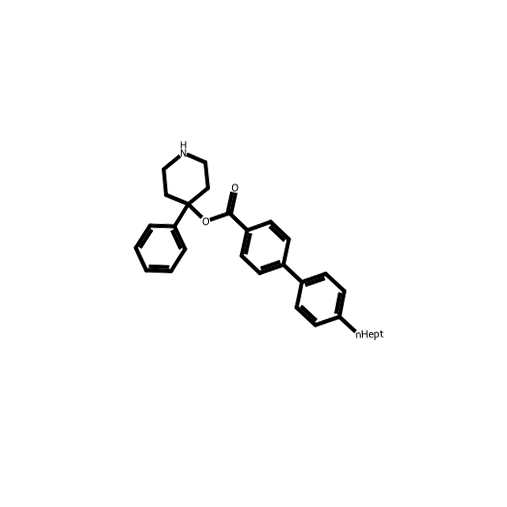 CCCCCCCc1ccc(-c2ccc(C(=O)OC3(c4ccccc4)CCNCC3)cc2)cc1